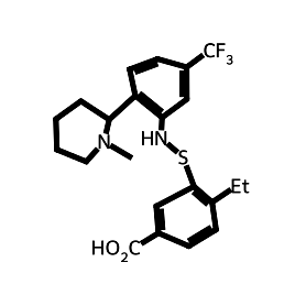 CCc1ccc(C(=O)O)cc1SNc1cc(C(F)(F)F)ccc1C1CCCCN1C